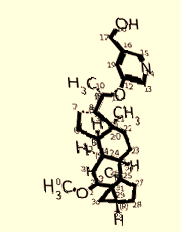 COC1C[C@H]2[C@@H]3CC[C@H]([C@H](C)Oc4cncc(CO)c4)[C@@]3(C)CC[C@@H]2[C@@]2(C)CC[C@@H]3CC132